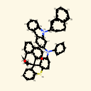 c1ccc(N(c2ccc3c(c2)C2(c4ccccc4S3)c3ccccc3-c3cccc4cccc2c34)c2ccc3c4ccccc4n(-c4ccc5ccccc5c4)c3c2)cc1